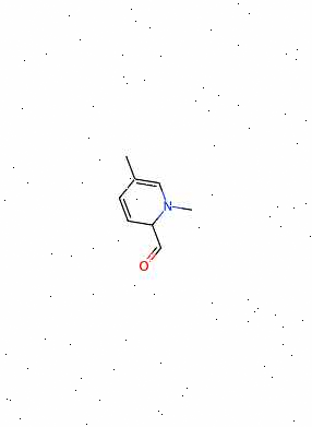 CC1=CN(C)C(C=O)C=C1